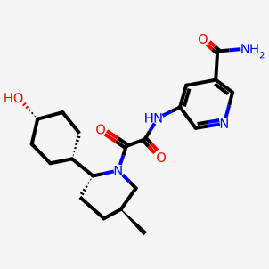 C[C@H]1CC[C@H]([C@H]2CC[C@@H](O)CC2)N(C(=O)C(=O)Nc2cncc(C(N)=O)c2)C1